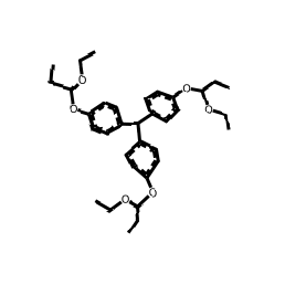 CCOC(CC)Oc1ccc(C(c2ccc(OC(CC)OCC)cc2)c2ccc(OC(CC)OCC)cc2)cc1